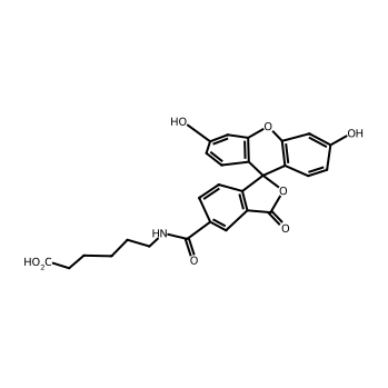 O=C(O)CCCCCNC(=O)c1ccc2c(c1)C(=O)OC21c2ccc(O)cc2Oc2cc(O)ccc21